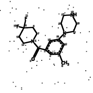 Cc1cc(C(=O)N2CCC(F)(F)CC2)cc(N2CCNCC2)c1